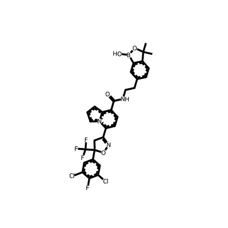 CC1(C)OB(O)c2cc(CCNC(=O)c3ccc(C4=NOC(c5cc(Cl)c(F)c(Cl)c5)(C(F)(F)F)C4)n4cccc34)ccc21